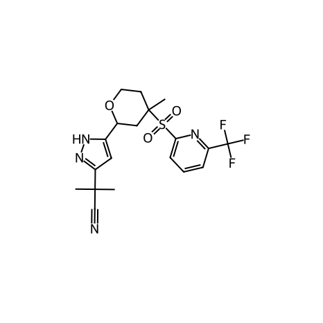 CC(C)(C#N)c1cc(C2CC(C)(S(=O)(=O)c3cccc(C(F)(F)F)n3)CCO2)[nH]n1